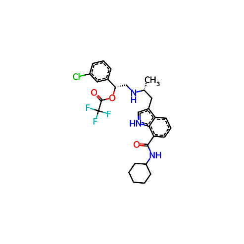 C[C@H](Cc1c[nH]c2c(C(=O)NC3CCCCC3)cccc12)NC[C@H](OC(=O)C(F)(F)F)c1cccc(Cl)c1